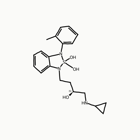 Cc1ccccc1N1c2ccccc2N(CC[C@H](O)CNC2CC2)S1(O)O